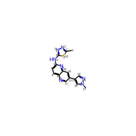 Cc1nnc(Nc2ccc3ncc(-c4cnn(C)c4)cc3n2)s1